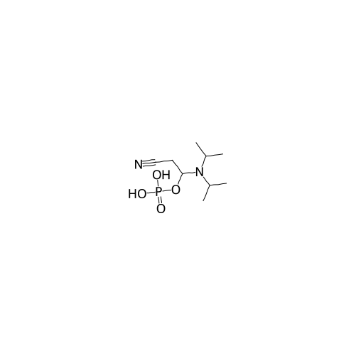 CC(C)N(C(C)C)C(CC#N)OP(=O)(O)O